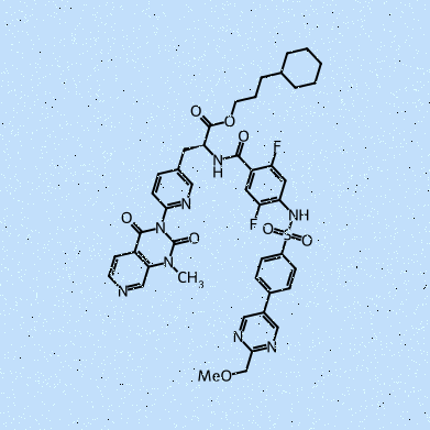 COCc1ncc(-c2ccc(S(=O)(=O)Nc3cc(F)c(C(=O)N[C@@H](Cc4ccc(-n5c(=O)c6ccncc6n(C)c5=O)nc4)C(=O)OCCCC4CCCCC4)cc3F)cc2)cn1